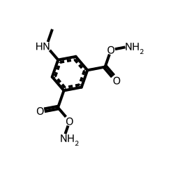 CNc1cc(C(=O)ON)cc(C(=O)ON)c1